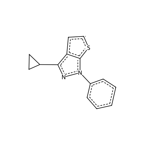 [c]1cc2c(C3CC3)nn(-c3ccccc3)c2s1